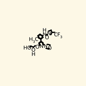 Cc1ccc(NC(=O)N2CCC(CC(F)(F)F)C2)cc1-c1cc(OC[C@H](O)CO)nc(N2CCOCC2)c1